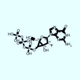 C#C[C@]12O[C@@H](n3cnc4c(=O)[nH]c(N)nc43)[C@H](F)[C@@]1(O)C2OP(=O)(O)OP(=O)(O)OP(=O)(O)O